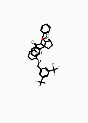 O=C(C1CCCC(OCc2cc(C(F)(F)F)cc(C(F)(F)F)c2)N1)C1CNC2CCC1(c1ccccc1)C2Cc1ccccc1